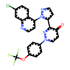 O=c1ccn(-c2ccc(OC(F)(F)F)cc2)nc1-c1ccnn1-c1ccnc2cc(Cl)ccc12